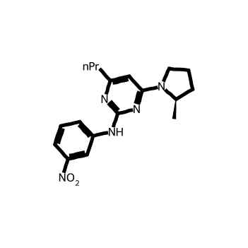 CCCc1cc(N2CCC[C@H]2C)nc(Nc2cccc([N+](=O)[O-])c2)n1